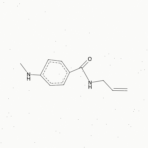 C=CCNC(=O)c1ccc(NC)cc1